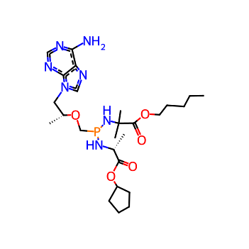 CCCCCOC(=O)C(C)(C)NP(CO[C@H](C)Cn1cnc2c(N)ncnc21)N[C@H](C)C(=O)OC1CCCC1